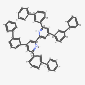 c1ccc(-c2cccc(-c3cc(-c4cccc(-c5ccccc5)c4)nc(-c4cc(-c5cccc(-c6ccccc6)c5)cc(-c5cccc(-c6ccccc6)c5)n4)c3)c2)cc1